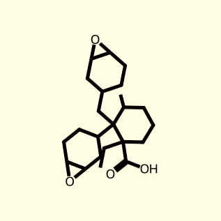 CCC1(C(=O)O)CCCC(C)C1(CC1CCC2OC2C1)C1CCC2OC2C1